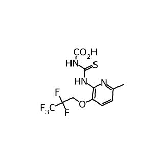 Cc1ccc(OCC(F)(F)C(F)(F)F)c(NC(=S)NC(=O)O)n1